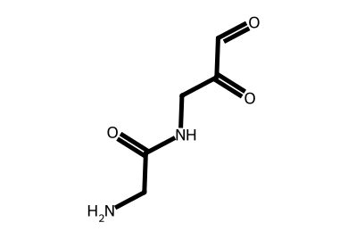 NCC(=O)NCC(=O)C=O